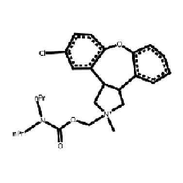 CCCN(CCC)C(=O)OC[N+]1(C)CC2c3ccccc3Oc3ccc(Cl)cc3C2C1